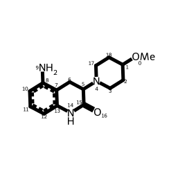 COC1CCN(C2Cc3c(N)cccc3NC2=O)CC1